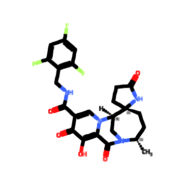 C[C@H]1CC[C@]2(CCC(=O)N2)[C@H]2CN1C(=O)c1c(O)c(=O)c(C(=O)NCc3c(F)cc(F)cc3F)cn12